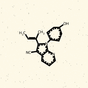 CC=C(C)c1c(C#N)c2cccnc2n1-c1ccc(O)cc1